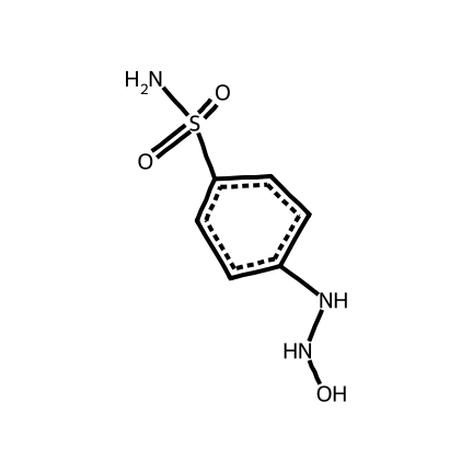 NS(=O)(=O)c1ccc(NNO)cc1